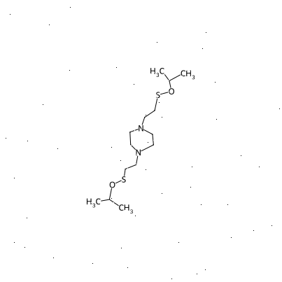 CC(C)OSCCN1CCN(CCSOC(C)C)CC1